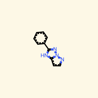 c1ccc(-c2nn3nccc3[nH]2)cc1